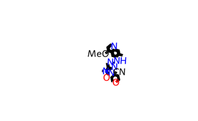 COc1ccnc2cc(C)c(Nc3ncc4c(n3)n(C3(C#N)CCOCC3)c(=O)n4C)cc12